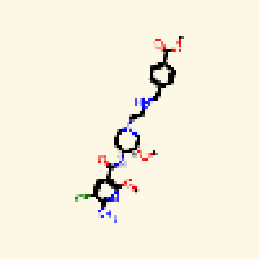 COC(=O)c1ccc(CNCCN2CC[C@H](NC(=O)c3cc(Cl)c(N)nc3OC)[C@H](OC)C2)cc1